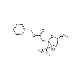 B[C@@H]1O[C@@]2(CC(=O)OCc3ccccc3)C(C)OC1[C@H]2C